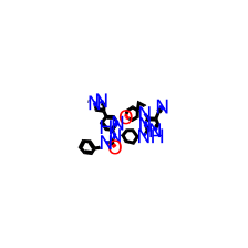 Cn1cc(-c2ccc(N(C(=O)NCc3ccccc3)[C@H]3CC[C@H](Nc4ncc(C#N)c(N5CCC56CCOCC6)n4)CC3)nc2)cn1